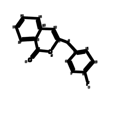 O=c1oc(Cc2ccc(F)cc2)cc2ccccc12